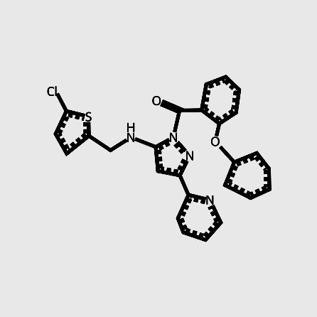 O=C(c1ccccc1Oc1ccccc1)n1nc(-c2ccccn2)cc1NCc1ccc(Cl)s1